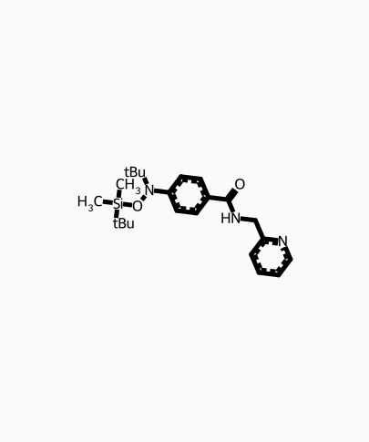 CC(C)(C)N(O[Si](C)(C)C(C)(C)C)c1ccc(C(=O)NCc2ccccn2)cc1